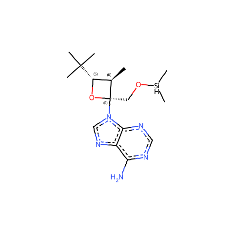 C[C@@H]1[C@@H](C(C)(C)C)O[C@]1(CO[SiH](C)C)n1cnc2c(N)ncnc21